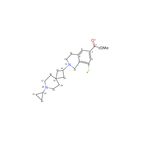 COC(=O)c1cc(F)c2c(c1)CCN(C1CC3(CCN(C4CC4)CC3)C1)C2